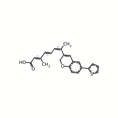 C/C(=C/C=C/C(C)=C/C(=O)O)C1=Cc2cc(-c3cccs3)ccc2OC1